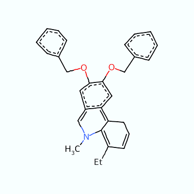 CCC1=C2C(=c3cc(OCc4ccccc4)c(OCc4ccccc4)cc3=CN2C)CC=C1